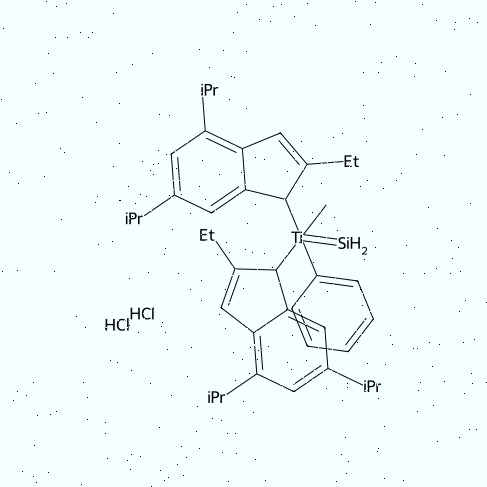 CCC1=Cc2c(C(C)C)cc(C(C)C)cc2[CH]1[Ti]([CH3])(=[SiH2])([c]1ccccc1)[CH]1C(CC)=Cc2c(C(C)C)cc(C(C)C)cc21.Cl.Cl